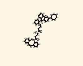 O=C(CCC(=O)OC(c1ccccc1)(c1ccc(C2CCCCCC2)cc1)c1ccccc1Cl)NCCC(=O)N1Cc2ccccc2C#Cc2ccccc21